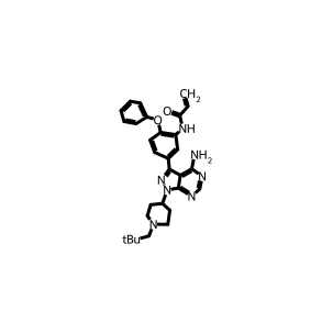 C=CC(=O)Nc1cc(-c2nn(C3CCN(CC(C)(C)C)CC3)c3ncnc(N)c23)ccc1Oc1ccccc1